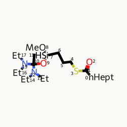 CCCCCCCC(=O)SCCC[SiH](OC)OC(C)(N(CC)CC)N(CC)CC